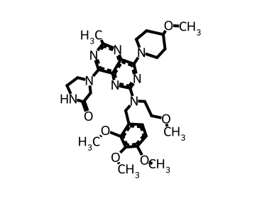 COCCN(Cc1ccc(OC)c(OC)c1OC)c1nc(N2CCC(OC)CC2)c2nc(C)nc(N3CCNC(=O)C3)c2n1